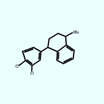 CC(C)(C)C1CCC(c2ccc(Cl)c(Cl)c2)c2ccccc21